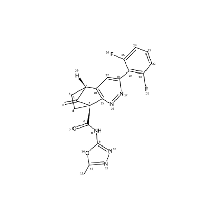 C=C1[C@@H]2CC[C@@]1(C(=O)Nc1nnc(C)o1)c1nnc(-c3c(F)cccc3F)cc12